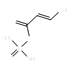 CC=CC(=O)OP(N)(N)=O